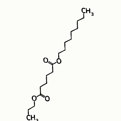 CCCCCCCCCOC(=O)CCCCC(=O)OCCC